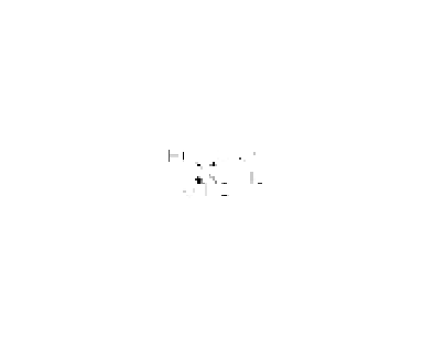 N.O=S(=O)(O)O.[Hg]